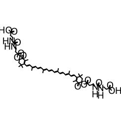 CC1=C(/C=C/C(C)=C/C=C/C(C)=C/C=C/C=C(C)/C=C/C=C(C)/C=C/C2=C(C)C(=O)[C@@H](OC(=O)CCNC(=O)NCCC(=O)O)CC2(C)C)C(C)(C)C[C@H](OC(=O)CCNC(=O)NCCC(=O)O)C1=O